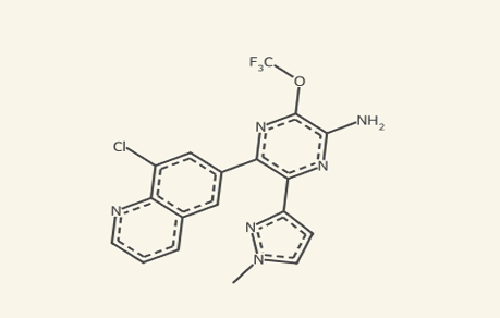 Cn1ccc(-c2nc(N)c(OC(F)(F)F)nc2-c2cc(Cl)c3ncccc3c2)n1